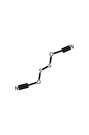 N#COSSOC#N